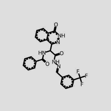 O=C(NC(C(=O)NN=Cc1cccc(C(F)(F)F)c1)c1n[nH]c(=O)c2ccccc12)c1ccccc1